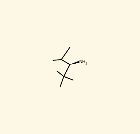 CC(C)[C@@H](N)C(C)(C)C